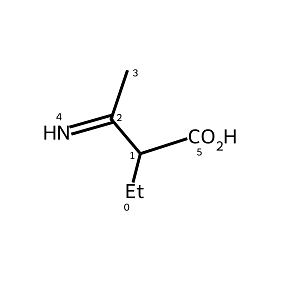 CCC(C(C)=N)C(=O)O